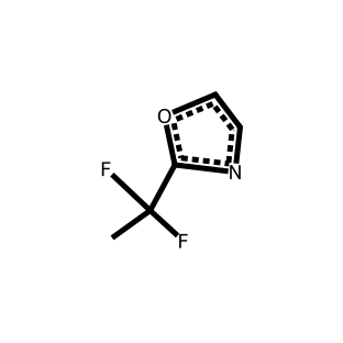 CC(F)(F)c1ncco1